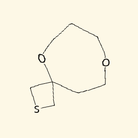 C1COCCC2(CSC2)OC1